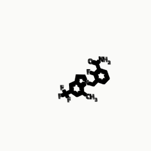 Cc1cc(C(F)(F)F)cc2ccn(Cc3cccc(C(N)=O)c3F)c12